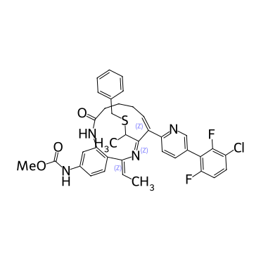 C\C=C1/N=C(C(C)SCc2ccccc2)/C(c2ccc(-c3c(F)ccc(Cl)c3F)cn2)=C\CCCC(=O)Nc2cc(NC(=O)OC)ccc21